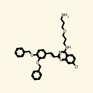 NCCCOCCCNc1nc(/C=C/c2ccc(OCc3ccccc3)c(OCc3ccccc3)c2)nc2cc(Cl)ccc12